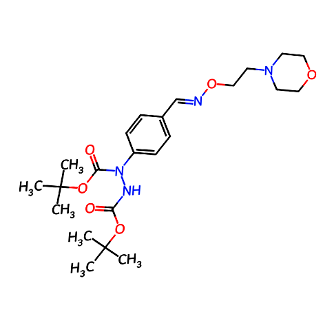 CC(C)(C)OC(=O)NN(C(=O)OC(C)(C)C)c1ccc(C=NOCCN2CCOCC2)cc1